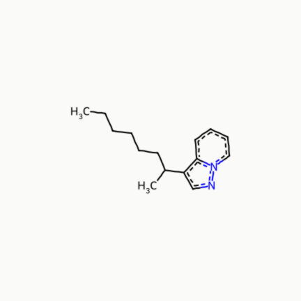 CCCCCCC(C)c1cnn2ccccc12